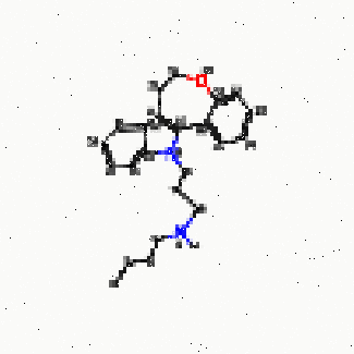 CCCCN(C)CCCn1c2c(c3ccccc31)CCOc1ccccc1-2